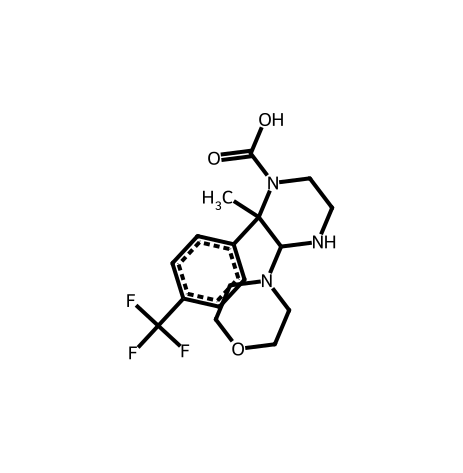 CC1(c2ccc(C(F)(F)F)cc2)C(N2CCOCC2)NCCN1C(=O)O